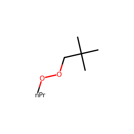 CCCOOCC(C)(C)C